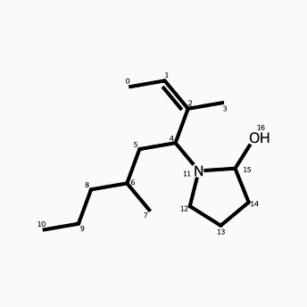 C/C=C(/C)C(CC(C)CCC)N1CCCC1O